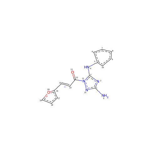 Nc1nc(Nc2ccccc2)n(C(=O)/C=C/c2ccco2)n1